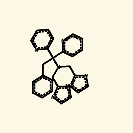 c1ccc(CC(c2ccccn2)(c2ccccn2)N(Cc2ncc[nH]2)Cc2ncc[nH]2)cc1